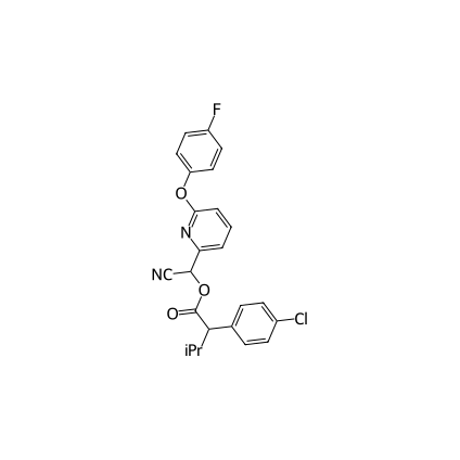 CC(C)C(C(=O)OC(C#N)c1cccc(Oc2ccc(F)cc2)n1)c1ccc(Cl)cc1